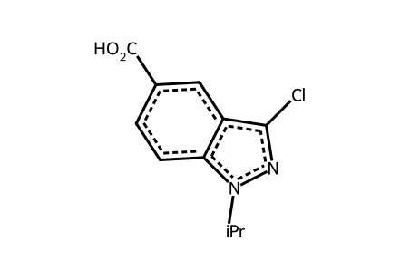 CC(C)n1nc(Cl)c2cc(C(=O)O)ccc21